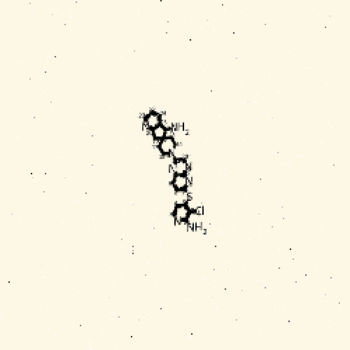 Nc1nccc(Sc2ccc3nc(N4CCC5(CC4)Cc4ncccc4C5N)cnc3n2)c1Cl